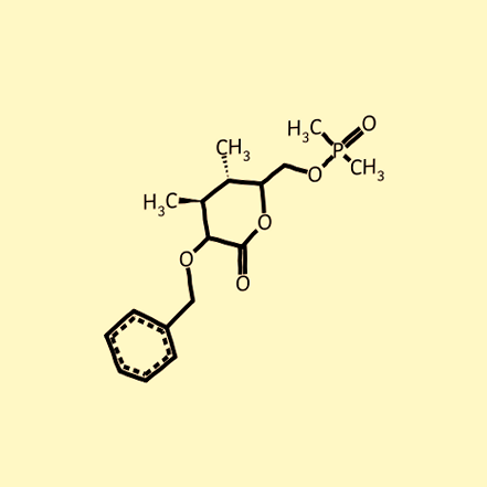 C[C@@H]1C(COP(C)(C)=O)OC(=O)C(OCc2ccccc2)[C@H]1C